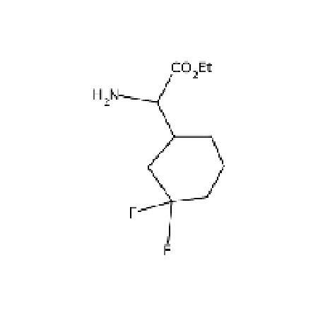 CCOC(=O)C(N)C1CCCC(F)(F)C1